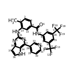 Cc1ccc(C(=O)Nc2cc(C(F)(F)F)cc(C(F)(F)F)c2)cc1Nc1nc(-c2cccnc2)c2[nH]ccc2n1